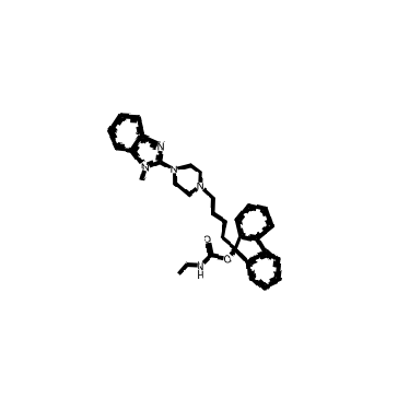 CCNC(=O)OC1(CCCCN2CCN(c3nc4ccccc4n3C)CC2)c2ccccc2-c2ccccc21